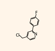 Fc1ccc(-c2cc(CCl)ccn2)cc1